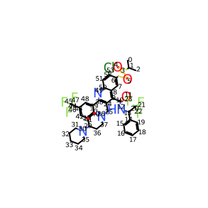 CC(C)S(=O)(=O)c1cc2c(C(=O)N[C@H](c3ccccc3)C(F)(F)F)c(CN3CCC(N4CCCCC4)CC3)c(-c3cccc(C(F)(F)F)c3)nc2cc1Cl